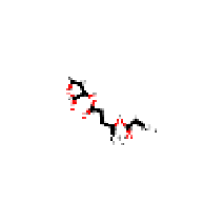 C=CC(=O)OC(=C)CCC(=O)OC1CCOC1=O